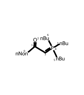 CCCCCCCCCC(=O)C=P(CCCC)(CCCC)CCCC